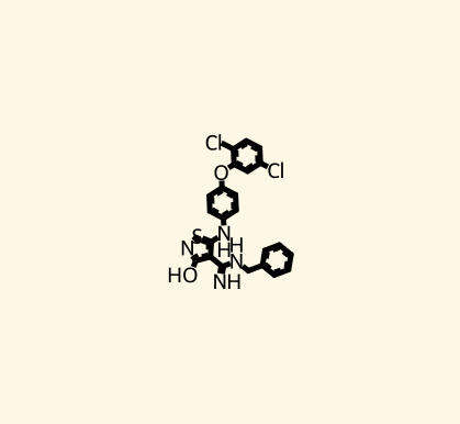 N=C(NCc1ccccc1)c1c(O)nsc1Nc1ccc(Oc2cc(Cl)ccc2Cl)cc1